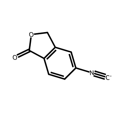 [C-]#[N+]c1ccc2c(c1)COC2=O